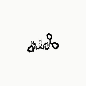 OC(CN1CCN(C(c2ccccc2)c2ccccc2)CC1)Cn1cnc2ccccc21